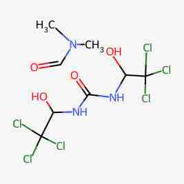 CN(C)C=O.O=C(NC(O)C(Cl)(Cl)Cl)NC(O)C(Cl)(Cl)Cl